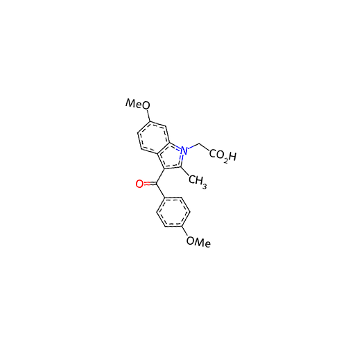 COc1ccc(C(=O)c2c(C)n(CC(=O)O)c3cc(OC)ccc23)cc1